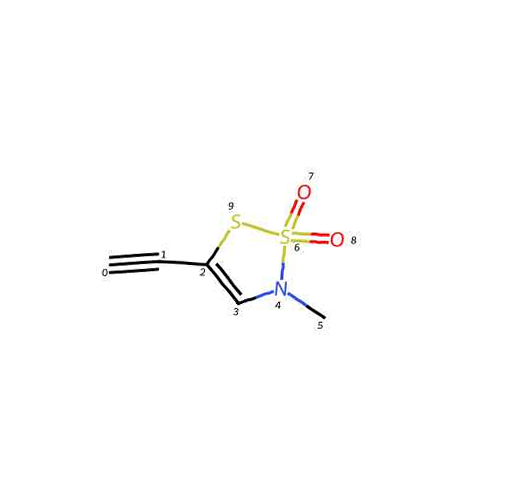 C#CC1=CN(C)S(=O)(=O)S1